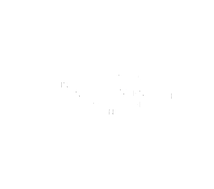 C/C(=N\C(C(=O)N1C2CCC1CC2)C(=S)c1cnc(N[C@@H](C)C2CCC2)cc1C(F)(F)F)C(=O)NCC(C)(C)O